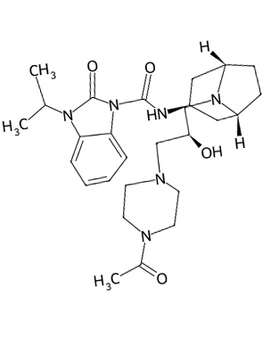 CC(=O)N1CCN(C[C@H](O)CN2[C@@H]3CC[C@H]2C[C@H](NC(=O)n2c(=O)n(C(C)C)c4ccccc42)C3)CC1